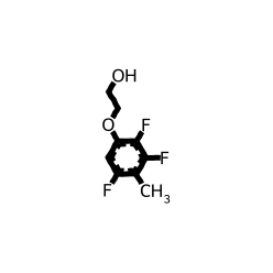 Cc1c(F)cc(OCCO)c(F)c1F